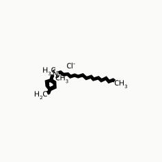 C=Cc1ccc(C[N+](C)(C)CCCCCCCCCCCCCCCC)cc1.[Cl-]